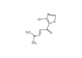 CN(C)/C=C/C(=O)c1scnc1Cl